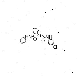 O=C(COc1ccccc1C(=O)NCc1ccccc1)Nc1ccc(Cl)cc1